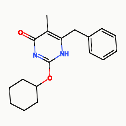 Cc1c(Cc2ccccc2)[nH]c(OC2CCCCC2)nc1=O